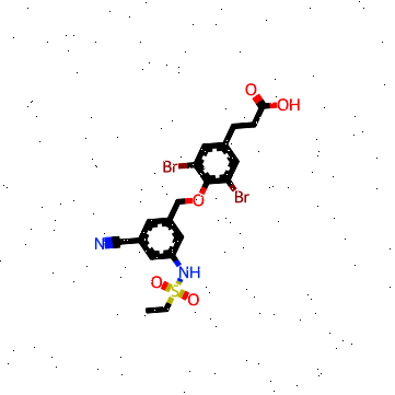 CCS(=O)(=O)Nc1cc(C#N)cc(COc2c(Br)cc(CCC(=O)O)cc2Br)c1